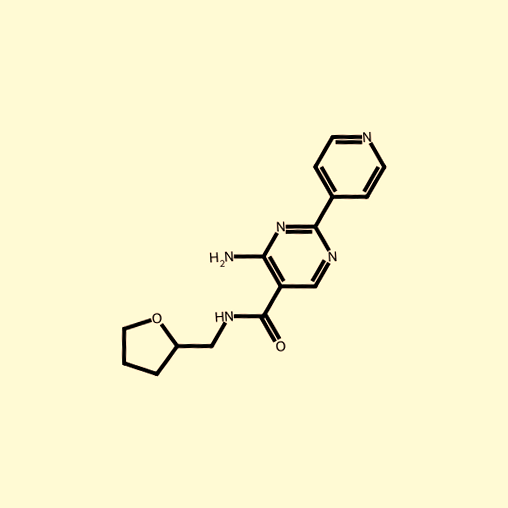 Nc1nc(-c2ccncc2)ncc1C(=O)NCC1CCCO1